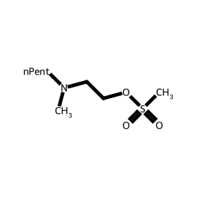 CCCCCN(C)CCOS(C)(=O)=O